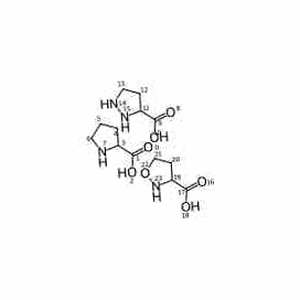 O=C(O)C1CCCN1.O=C(O)C1CCNN1.O=C(O)C1CCON1